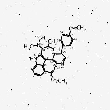 COC(=O)c1cccc2[nH]c(C(C(C)C)N(C)C)c(-c3cncc(-c4ccc(OC)cc4)c3)c12